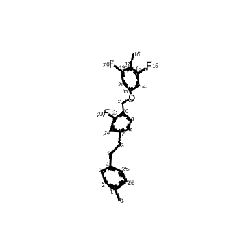 Cc1ccc(CCc2ccc(COc3cc(F)c(C)c(F)c3)c(F)c2)cc1